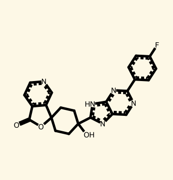 O=C1OC2(CCC(O)(c3nc4cnc(-c5ccc(F)cc5)nc4[nH]3)CC2)c2cnccc21